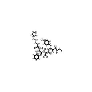 CCNC(=O)C(=O)[C@H](Cc1ccc(Cl)cc1)NC(=O)[C@@H](NC(=O)[C@H](Cc1ccccc1)NC(=O)CCCCC1CCSS1)C(C)C